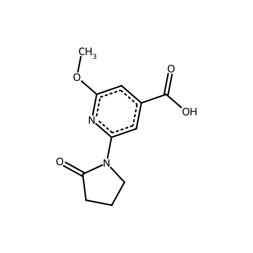 COc1cc(C(=O)O)cc(N2CCCC2=O)n1